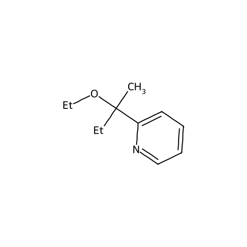 CCOC(C)(CC)c1ccccn1